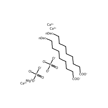 CCCCCCCCCCCCCCCCCC(=O)[O-].CCCCCCCCCCCCCCCCCC(=O)[O-].O=P([O-])([O-])[O-].O=P([O-])([O-])[O-].[Ca+2].[Ca+2].[Ca+2].[Mg+2]